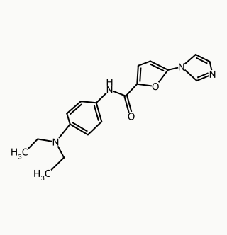 CCN(CC)c1ccc(NC(=O)c2ccc(-n3ccnc3)o2)cc1